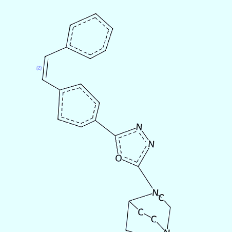 C(=C/c1ccc(-c2nnc(N3CCN4CCC3CC4)o2)cc1)/c1ccccc1